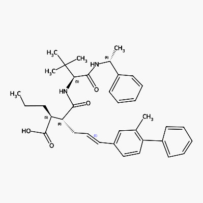 CCC[C@H](C(=O)O)[C@@H](C/C=C/c1ccc(-c2ccccc2)c(C)c1)C(=O)N[C@H](C(=O)N[C@H](C)c1ccccc1)C(C)(C)C